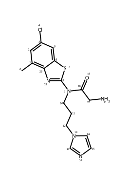 Cc1cc(Cl)cc2sc(N(CCCn3ccnc3)C(=O)CN)nc12